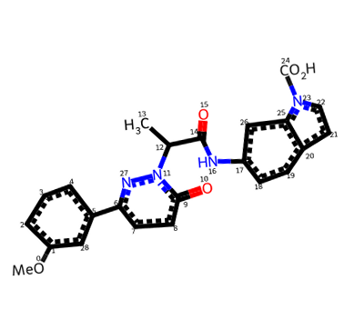 COc1cccc(-c2ccc(=O)n(C(C)C(=O)Nc3ccc4ccn(C(=O)O)c4c3)n2)c1